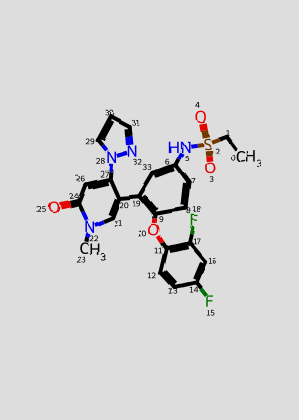 CCS(=O)(=O)Nc1ccc(Oc2ccc(F)cc2F)c(-c2cn(C)c(=O)cc2-n2cccn2)c1